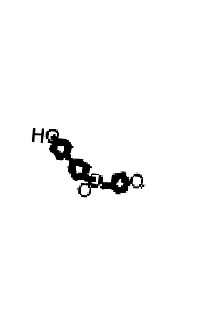 COc1ccc(COC(=O)c2ccc(-c3ccc(O)cc3)cc2)cc1